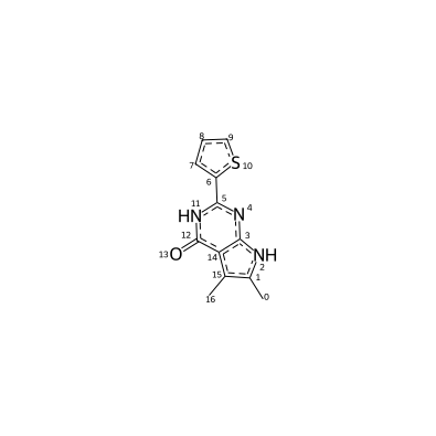 Cc1[nH]c2nc(-c3cccs3)[nH]c(=O)c2c1C